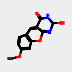 CCCCOc1ccc2c(c1)OC1=NC(O)NC(=O)C1=C2